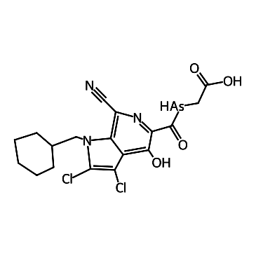 N#Cc1nc(C(=O)[AsH]CC(=O)O)c(O)c2c(Cl)c(Cl)n(CC3CCCCC3)c12